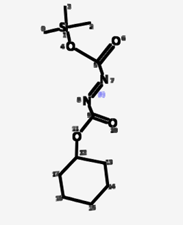 C[Si](C)(C)OC(=O)/N=N/C(=O)OC1CCCCC1